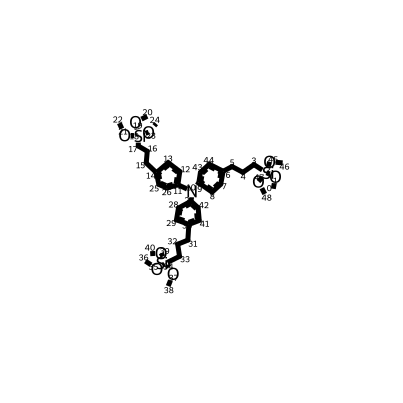 CO[Si](CCCc1ccc(N(c2ccc(CCC[Si](OC)(OC)OC)cc2)c2ccc(CCC[Si](OC)(OC)OC)cc2)cc1)(OC)OC